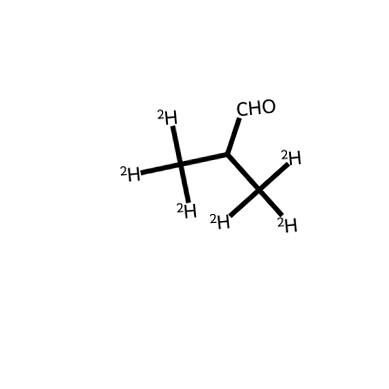 [2H]C([2H])([2H])C(C=O)C([2H])([2H])[2H]